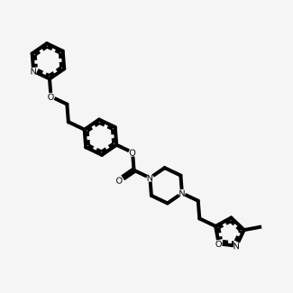 Cc1cc(CCN2CCN(C(=O)Oc3ccc(CCOc4ccccn4)cc3)CC2)on1